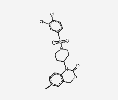 Cc1ccc2c(c1)COC(=O)N2C1CCN(S(=O)(=O)c2ccc(Cl)c(Cl)c2)CC1